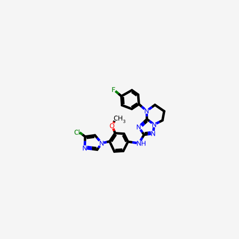 COc1cc(Nc2nc3n(n2)CCCN3c2ccc(F)cc2)ccc1-n1cnc(Cl)c1